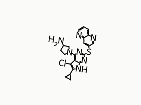 NC1CCN(c2nc(Sc3cnc4cccnc4c3)nc3[nH]c(C4CC4)c(Cl)c23)C1